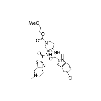 COCCOC(=O)N1CC[C@H](NC(=O)c2cc3cc(Cl)ccc3[nH]2)[C@H](NC(=O)c2nc3c(s2)CN(C)CC3)C1